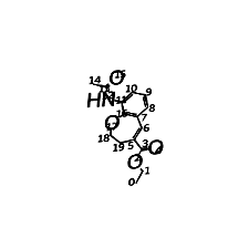 CCOC(=O)C1=Cc2cccc(NC(C)=O)c2OCC1